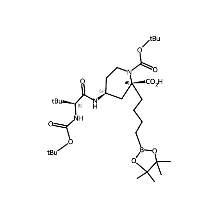 CC(C)(C)OC(=O)N[C@H](C(=O)N[C@H]1CCN(C(=O)OC(C)(C)C)[C@@](CCCCB2OC(C)(C)C(C)(C)O2)(C(=O)O)C1)C(C)(C)C